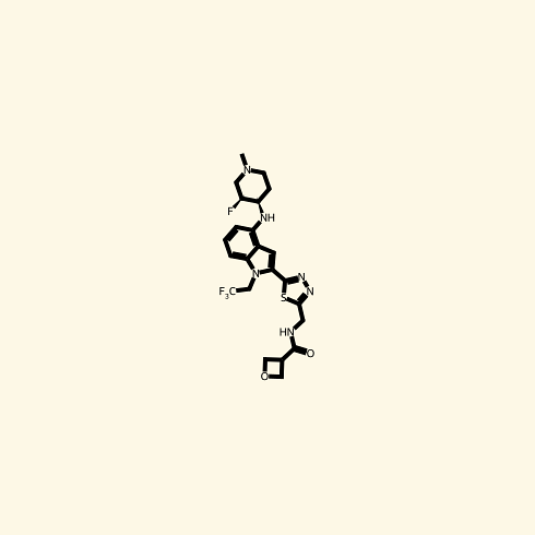 CN1CC[C@@H](Nc2cccc3c2cc(-c2nnc(CNC(=O)C4COC4)s2)n3CC(F)(F)F)[C@@H](F)C1